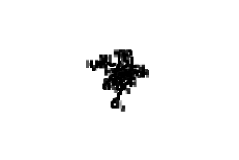 CCCCCCCCCC(=O)N[C@H](C(=O)NC(CCC(=O)O)C(=O)N[C@@H](CCCNC(=N)N)C(=O)NC(CCSC)C(=O)N[C@@H](C)C=O)[C@@H](C)O